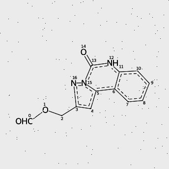 O=COCc1cc2c3ccccc3[nH]c(=O)n2n1